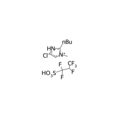 CCCCc1[nH]cc[n+]1C.O=S(=O)(O)C(F)(F)C(F)C(F)(F)F.[Cl-]